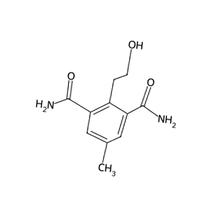 Cc1cc(C(N)=O)c(CCO)c(C(N)=O)c1